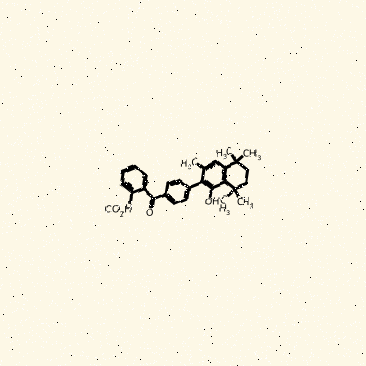 Cc1cc2c(c(O)c1-c1ccc(C(=O)c3ccccc3C(=O)O)cc1)C(C)(C)CCC2(C)C